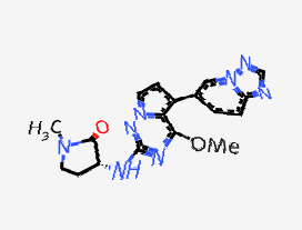 COc1nc(N[C@@H]2CCN(C)C2=O)nn2ccc(-c3ccc4ncnn4c3)c12